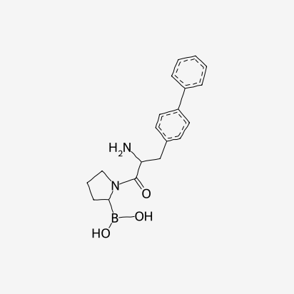 NC(Cc1ccc(-c2ccccc2)cc1)C(=O)N1CCCC1B(O)O